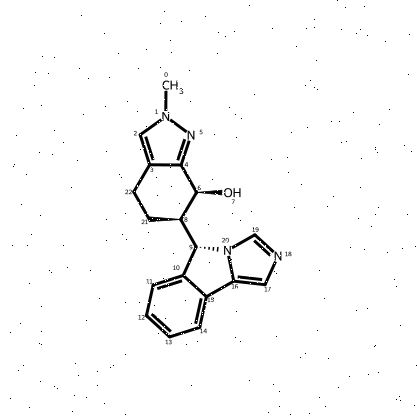 Cn1cc2c(n1)[C@@H](O)[C@@H]([C@H]1c3ccccc3-c3cncn31)CC2